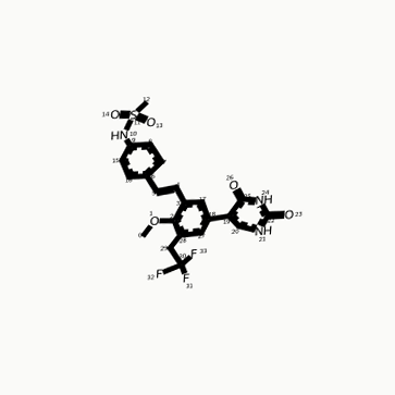 COc1c(/C=C/c2ccc(NS(C)(=O)=O)cc2)cc(-c2c[nH]c(=O)[nH]c2=O)cc1CC(F)(F)F